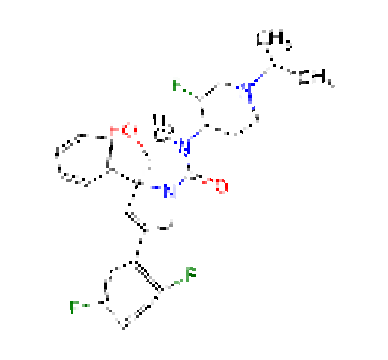 CC(C)N1CCC(N(C)C(=O)N2CC(c3cc(F)ccc3F)=C[C@@]2(CO)c2ccccc2)C(F)C1